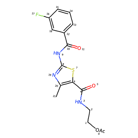 CC(=O)OCCNC(=O)c1sc(NC(=O)c2cccc(F)c2)nc1C